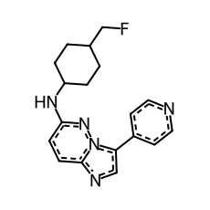 FCC1CCC(Nc2ccc3ncc(-c4ccncc4)n3n2)CC1